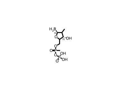 B[C@@H]1OC(COP(C)(=O)OP(=O)(O)O)[C@@H](O)C1C